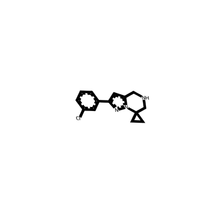 Clc1cccc(-c2cc3n(n2)C2(CC2)CNC3)c1